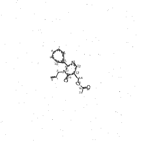 C=CCn1c(-c2ccccc2)ncc(COC(C)=O)c1=O